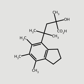 Cc1c(C)c2c(c(C(C)(C)CC(C)(O)C(=O)O)c1C)CCC2